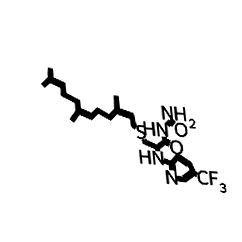 CC(C)=CCCC(C)=CCCC(C)=CCSCC(Nc1ccc(C(F)(F)F)cn1)C(=O)NC(N)=O